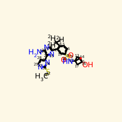 [2H]C([2H])([2H])c1ccc(S(=O)(=O)NC23CCC(O)(C2)C3)cc1-c1cnc(N)c(-c2ccnc(SC)n2)n1